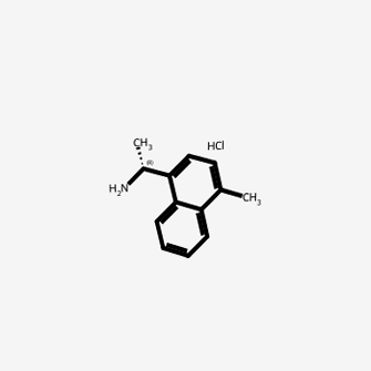 Cc1ccc([C@@H](C)N)c2ccccc12.Cl